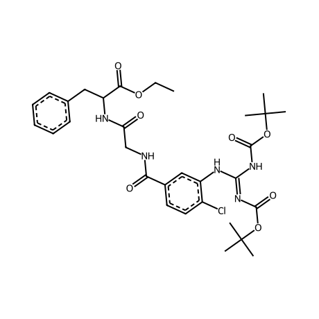 CCOC(=O)C(Cc1ccccc1)NC(=O)CNC(=O)c1ccc(Cl)c(NC(=NC(=O)OC(C)(C)C)NC(=O)OC(C)(C)C)c1